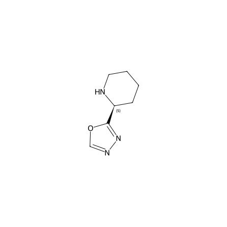 c1nnc([C@@H]2CCCCN2)o1